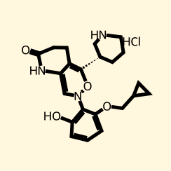 Cl.O=C1CCC2=C([C@H]3CCCNC3)ON(c3c(O)cccc3OCC3CC3)C=C2N1